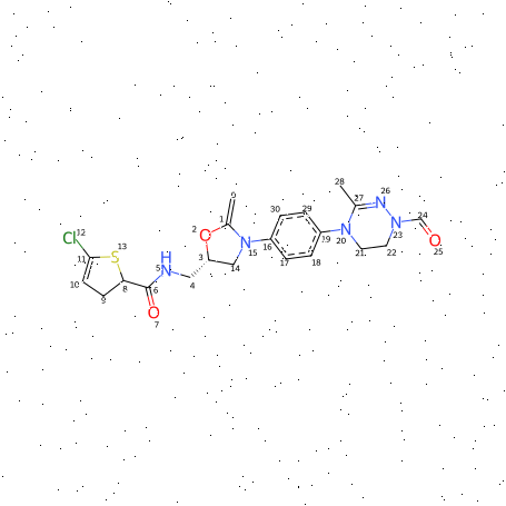 C=C1O[C@@H](CNC(=O)C2CC=C(Cl)S2)CN1c1ccc(N2CCN(C=O)N=C2C)cc1